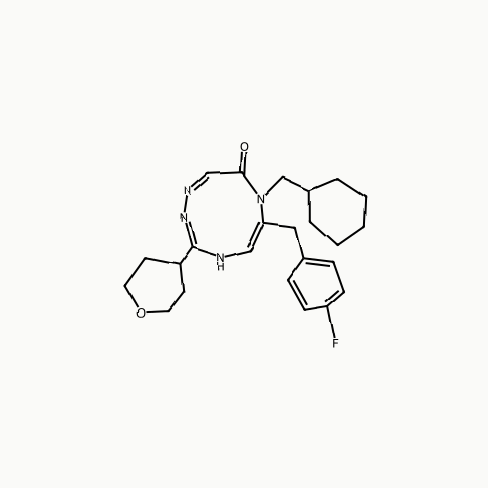 O=c1cnnc(C2CCOCC2)[nH]cc(Cc2ccc(F)cc2)n1CC1CCCCC1